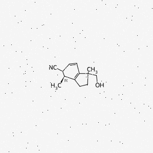 C[C@@H]1C2=C(C=CC1C#N)C(C)(CO)CC2